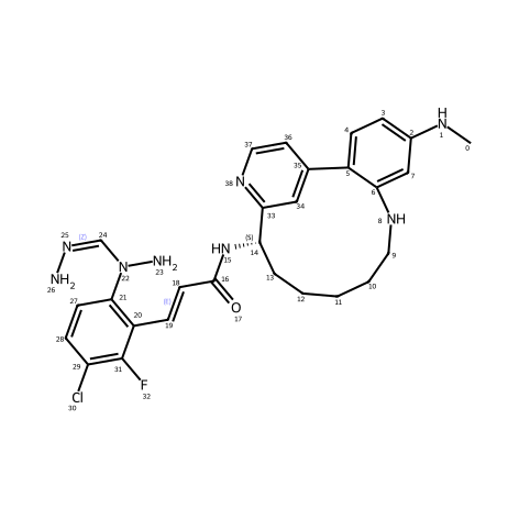 CNc1ccc2c(c1)NCCCCC[C@H](NC(=O)/C=C/c1c(N(N)/C=N\N)ccc(Cl)c1F)c1cc-2ccn1